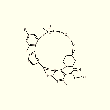 Cc1nc2nc3cn2c(c1[C@H](OC(C)(C)C)C(=O)O)N1CCC(C)(CC1)OCCCC[C@H](C)Oc1cc(F)cc(F)c1-c1cccc-3c1